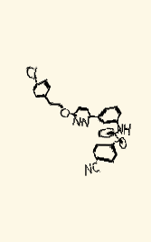 N#Cc1ccc(S(=O)(=O)Nc2cccc(-c3ccc(OCCc4ccc(Cl)cc4)nn3)c2)cc1